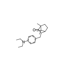 CCN(CC)c1ccc(CC2C(=O)C3(C)CCC2C3(C)C)cc1